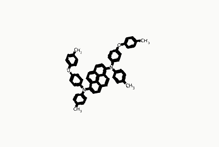 Cc1ccc(Oc2ccc(N(c3ccc(C)cc3)c3ccc4ccc5c(N(c6ccc(C)cc6)c6ccc(Oc7ccc(C)cc7)cc6)ccc6ccc3c4c65)cc2)cc1